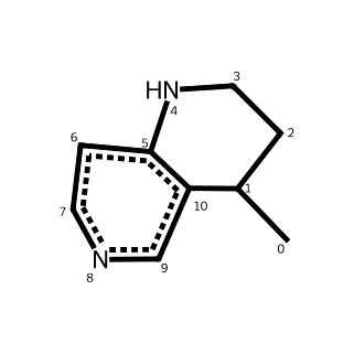 CC1CCNc2ccncc21